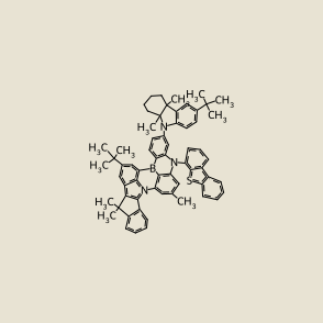 Cc1cc2c3c(c1)-n1c4c(c5cc(C(C)(C)C)cc(c51)B3c1ccc(N3c5ccc(C(C)(C)C)cc5C5(C)CCCCC35C)cc1N2c1cccc2c1sc1ccccc12)C(C)(C)c1ccccc1-4